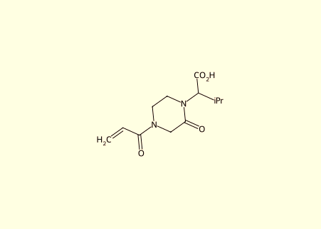 C=CC(=O)N1CCN(C(C(=O)O)C(C)C)C(=O)C1